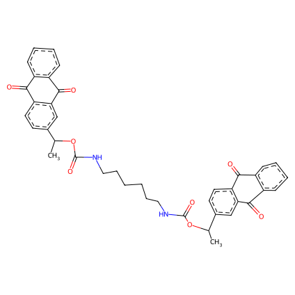 CC(OC(=O)NCCCCCCNC(=O)OC(C)c1ccc2c(c1)C(=O)c1ccccc1C2=O)c1ccc2c(c1)C(=O)c1ccccc1C2=O